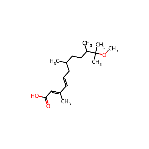 COC(C)(C)C(C)CCC(C)CC=CC(C)=CC(=O)O